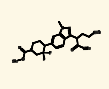 CNC(=O)C(CCC=O)c1nn(C)c2cc(C3CCN(C(=O)OC(C)(C)C)CC3(F)F)ccc12